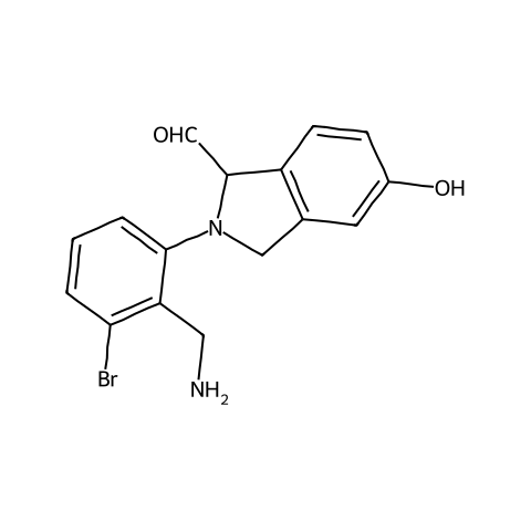 NCc1c(Br)cccc1N1Cc2cc(O)ccc2C1C=O